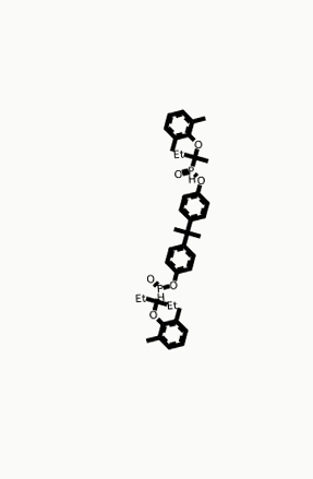 CCC(C)(Oc1c(C)cccc1C)[PH](=O)Oc1ccc(C(C)(C)c2ccc(O[PH](=O)C(CC)(CC)Oc3c(C)cccc3C)cc2)cc1